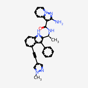 C[C@H](NC(=O)c1c(N)nn2ccccc12)c1[nH]c2cccc(C#Cc3cnn(C)c3)c2c1-c1ccccc1